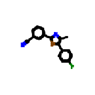 Cc1nc(-c2cccc(C#N)c2)sc1-c1ccc(F)cc1